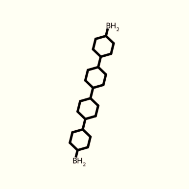 BC1CCC(C2CCC(C3CCC(C4CCC(B)CC4)CC3)CC2)CC1